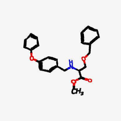 COC(=O)C(COCc1ccccc1)NCc1ccc(Oc2ccccc2)cc1